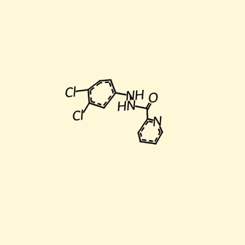 O=C(NNc1ccc(Cl)c(Cl)c1)c1ccccn1